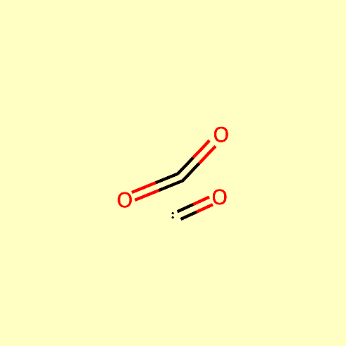 O=C=O.[C]=O